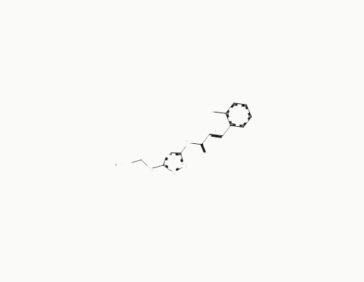 CCCCCCCCCCCNc1nnc(NC(=O)/C=C/c2ccccc2Cl)s1